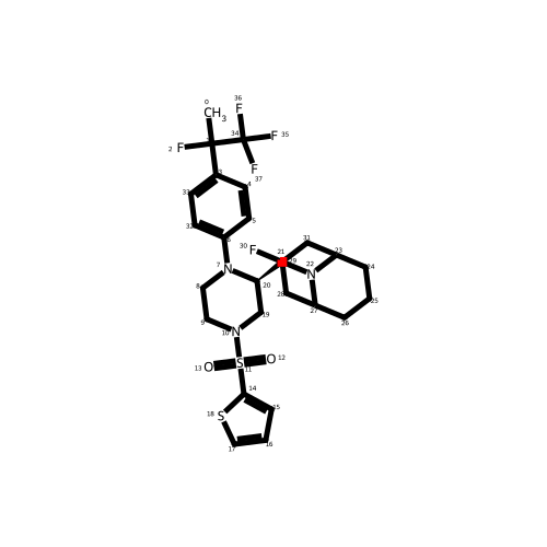 CC(F)(c1ccc(N2CCN(S(=O)(=O)c3cccs3)C[C@@H]2CN2C3CCCC2CC(F)C3)cc1)C(F)(F)F